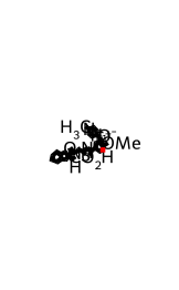 COc1ccc(-c2csc(CNC(=O)C3(CC(=O)O)Cc4ccccc4C3)n2)cc1[S@@+]([O-])N1CCN(C)CC1